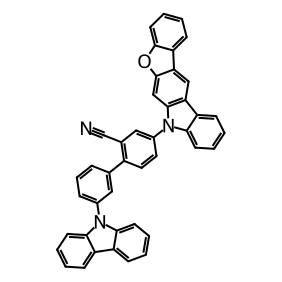 N#Cc1cc(-n2c3ccccc3c3cc4c(cc32)oc2ccccc24)ccc1-c1cccc(-n2c3ccccc3c3ccccc32)c1